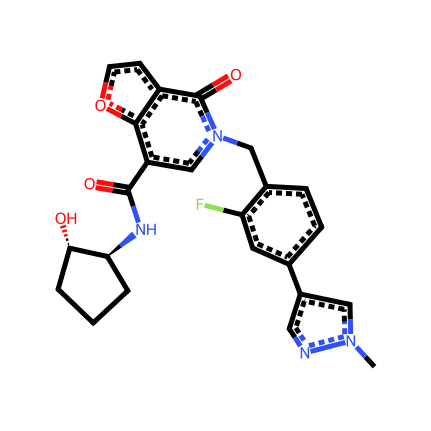 Cn1cc(-c2ccc(Cn3cc(C(=O)N[C@H]4CCC[C@@H]4O)c4occc4c3=O)c(F)c2)cn1